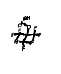 O=S(O)OC(C(F)(F)F)(C(F)(F)F)C(F)(F)F